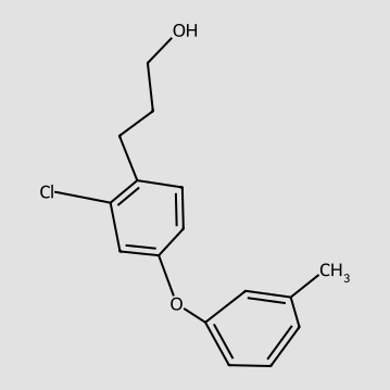 Cc1cccc(Oc2ccc(CCCO)c(Cl)c2)c1